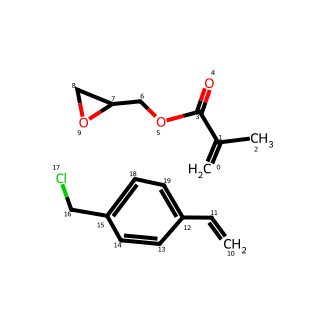 C=C(C)C(=O)OCC1CO1.C=Cc1ccc(CCl)cc1